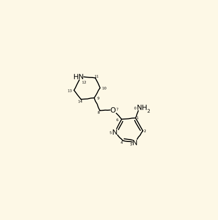 Nc1cncnc1OCC1CCNCC1